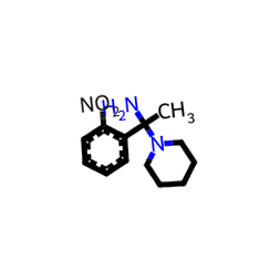 CC(N)(c1ccccc1[N+](=O)[O-])N1CCCCC1